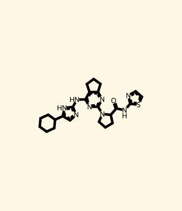 O=C(Nc1nccs1)C1CCCN1c1nc2c(c(Nc3ncc(C4CCCCC4)[nH]3)n1)CCC2